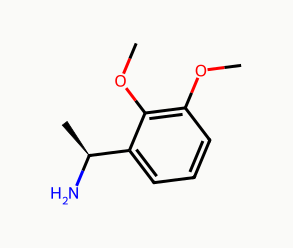 COc1cccc([C@H](C)N)c1OC